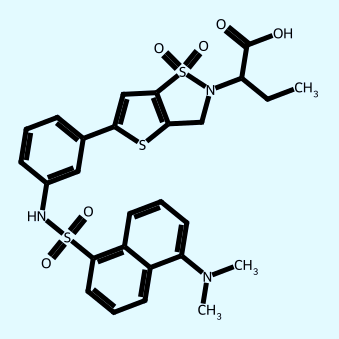 CCC(C(=O)O)N1Cc2sc(-c3cccc(NS(=O)(=O)c4cccc5c(N(C)C)cccc45)c3)cc2S1(=O)=O